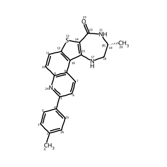 Cc1ccc(-c2ccc3c(ccc4sc5c(c43)NC[C@@H](C)NC5=O)n2)cc1